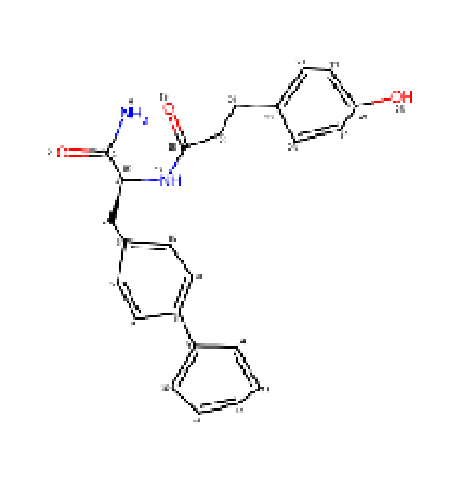 NC(=O)[C@H](Cc1ccc(-c2ccccc2)cc1)NC(=O)[CH]Cc1ccc(O)cc1